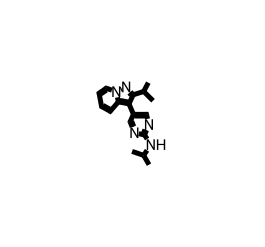 CC(C)Nc1ncc(-c2c(C(C)C)nn3ccccc23)cn1